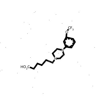 O=C(O)CCCCCN1CCN(c2cccc(OC(F)(F)F)c2)CC1